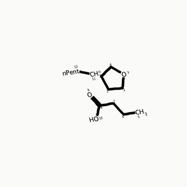 C1CCOC1.CCCC(=O)O.CCCCCC